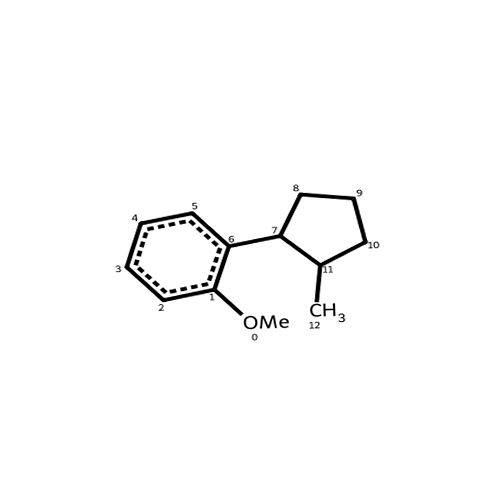 COc1ccccc1C1CCCC1C